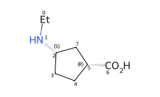 CCN[C@H]1CC[C@@H](C(=O)O)C1